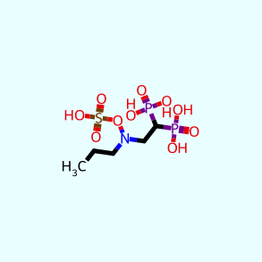 CCCN(CC(P(=O)(O)O)P(=O)(O)O)OS(=O)(=O)O